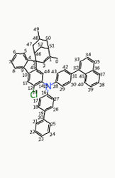 CC1=CC2(c3ccccc3-c3cc(Cl)c(N(c4ccc(-c5ccccc5)cc4)c4ccc(-c5cccc6ccccc56)cc4)cc32)C2CC(C)CC1C2